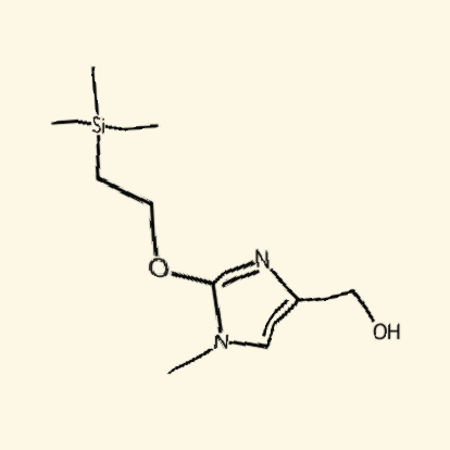 Cn1cc(CO)nc1OCC[Si](C)(C)C